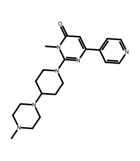 CN1CCN(C2CCN(c3nc(-c4ccncc4)cc(=O)n3C)CC2)CC1